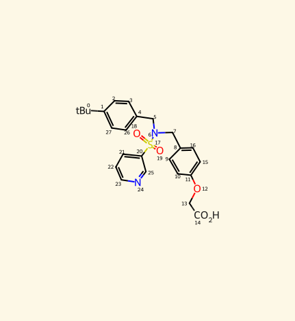 CC(C)(C)c1ccc(CN(Cc2ccc(OCC(=O)O)cc2)S(=O)(=O)c2cccnc2)cc1